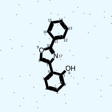 Oc1ccccc1-c1coc(-c2ccccc2)n1